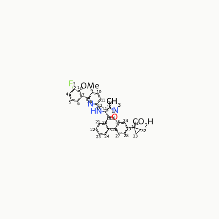 COc1c(F)cccc1-c1cccc(Nc2c(C)noc2-c2ccccc2-c2ccc(C3(C(=O)O)CC3)cc2)n1